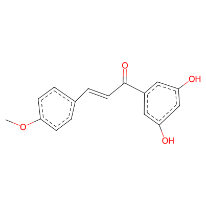 COc1ccc(C=CC(=O)c2cc(O)cc(O)c2)cc1